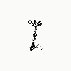 O=[N+]([O-])C(CCCCCCCCCOCCCCCCCCCC(c1ccccc1)[N+](=O)[O-])c1ccccc1